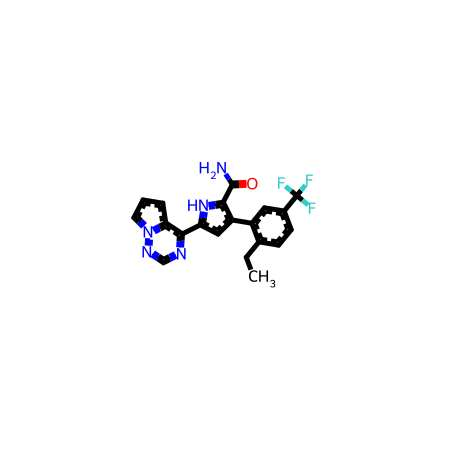 CCc1ccc(C(F)(F)F)cc1-c1cc(-c2ncnn3cccc23)[nH]c1C(N)=O